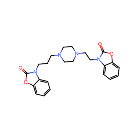 O=c1oc2ccccc2n1CCCN1CCN(CCn2c(=O)oc3ccccc32)CC1